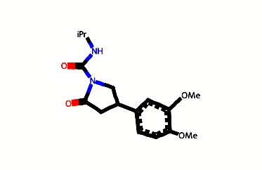 COc1ccc(C2CC(=O)N(C(=O)NC(C)C)C2)cc1OC